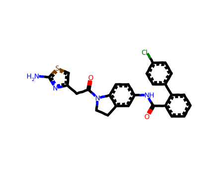 Nc1nc(CC(=O)N2CCc3cc(NC(=O)c4ccccc4-c4ccc(Cl)cc4)ccc32)cs1